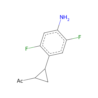 CC(=O)C1CC1c1cc(F)c(N)cc1F